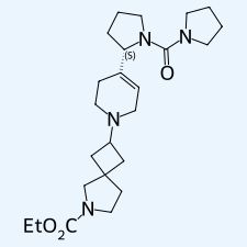 CCOC(=O)N1CCC2(CC(N3CC=C([C@@H]4CCCN4C(=O)N4CCCC4)CC3)C2)C1